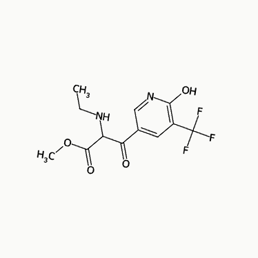 CCNC(C(=O)OC)C(=O)c1cnc(O)c(C(F)(F)F)c1